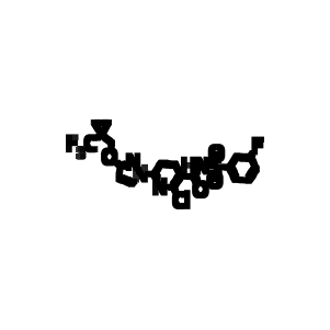 O=C(NS(=O)(=O)c1cccc(F)c1)c1ccc(-n2ccc(OCC3(C(F)(F)F)CC3)n2)nc1Cl